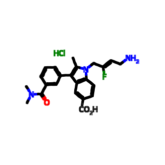 Cc1c(-c2cccc(C(=O)N(C)C)c2)c2cc(C(=O)O)ccc2n1CC(F)=CCN.Cl